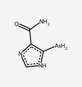 NC(=O)c1nc[nH]c1[AsH2]